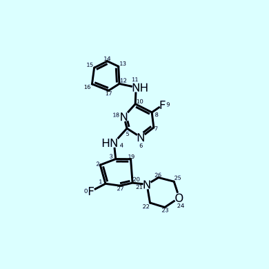 Fc1cc(Nc2ncc(F)c(Nc3ccccc3)n2)cc(N2CCOCC2)c1